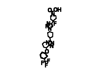 O=C(O)N1CCC(F)(c2cn([C@H]3CC[C@H](c4nnc5n4CCCC5Oc4cccc(C(F)(F)F)c4)CC3)nn2)CC1